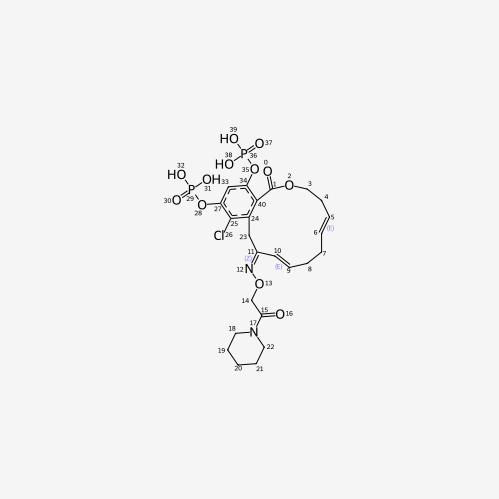 O=C1OCC/C=C/CC/C=C/C(=N\OCC(=O)N2CCCCC2)Cc2c(Cl)c(OP(=O)(O)O)cc(OP(=O)(O)O)c21